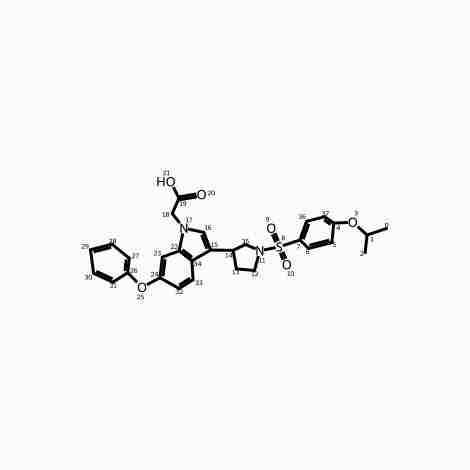 CC(C)Oc1ccc(S(=O)(=O)N2CCC(c3cn(CC(=O)O)c4cc(Oc5ccccc5)ccc34)C2)cc1